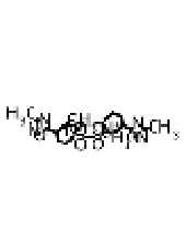 Cc1noc(C2CCC[N+](C)(OC(=O)C(=O)O[N+]3(C)CCCC(c4nc(C)no4)C3)C2)n1